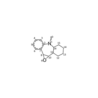 IN1c2ccccc2C2OC2C2CCCCC21